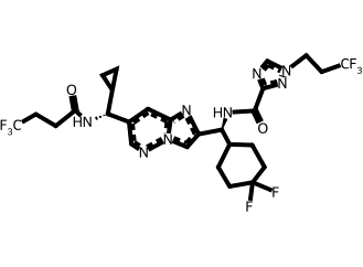 O=C(CCC(F)(F)F)N[C@@H](c1cnn2cc([C@@H](NC(=O)c3ncn(CCC(F)(F)F)n3)C3CCC(F)(F)CC3)nc2c1)C1CC1